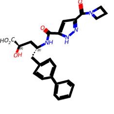 O=C(N[C@H](Cc1ccc(-c2ccccc2)cc1)C[C@@H](O)C(=O)O)c1cc(C(=O)N2CCC2)n[nH]1